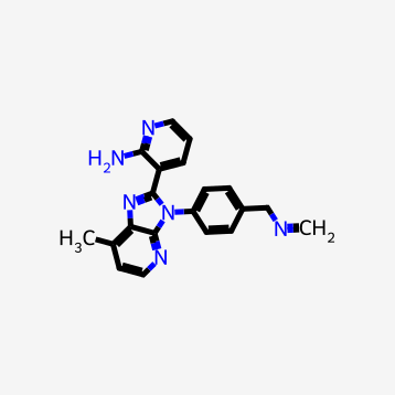 C=NCc1ccc(-n2c(-c3cccnc3N)nc3c(C)ccnc32)cc1